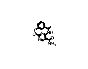 CC(Nc1nc(Cl)ncc1C(N)=O)c1cccc(F)c1